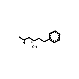 CNC[C@@H](O)CCc1ccccc1